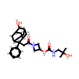 CC(C)(O)CNC(=O)OC1CN(C(=O)CC2(c3ccccc3)C3CC4CC2CC(C3)C4O)C1